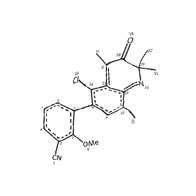 COc1c(C#N)cccc1-c1cc(C)c2c(c1Cl)=C(C)C(=O)C(C)(C)N=2